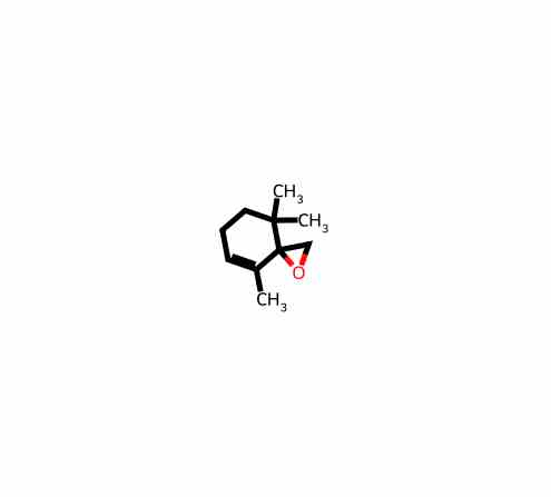 CC1=CCCC(C)(C)C12CO2